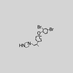 CC(=CCN1CCNCC1)c1ccc(Oc2ccc(Br)cc2Br)cc1